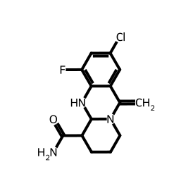 C=C1c2cc(Cl)cc(F)c2NC2C(C(N)=O)CCCN12